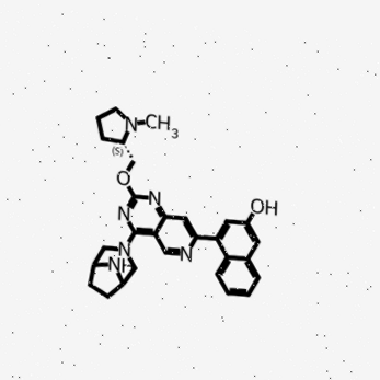 CN1CCC[C@H]1COc1nc(N2CC3CCC(C2)N3)c2cnc(-c3cc(O)cc4ccccc34)cc2n1